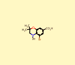 CC(C)N1CC(C)(C)Oc2cc(C(=O)O)cc(Br)c21